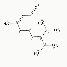 CC(=CC=O)CCC=C(C(C)C)C(C)C